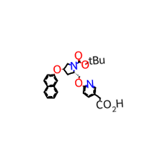 CC(C)(C)OC(=O)N1C[C@@H](Oc2ccc3ccccc3c2)C[C@H]1COc1ccc(CC(=O)O)cn1